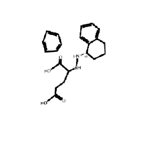 O=C(O)CCC(NN[C@H]1CCCc2ccccc21)C(=O)O.c1ccccc1